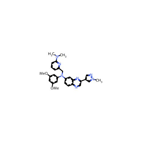 COc1cc(OC)cc(N(Cc2cccc(N(C)C)n2)c2ccc3ncc(-c4cnn(C)c4)nc3c2)c1